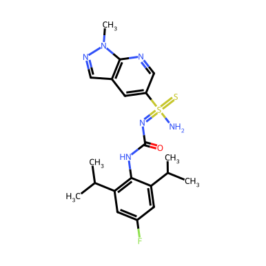 CC(C)c1cc(F)cc(C(C)C)c1NC(=O)N=S(N)(=S)c1cnc2c(cnn2C)c1